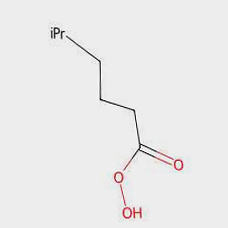 CC(C)CCCC(=O)OO